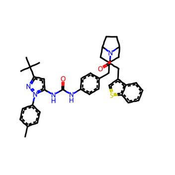 Cc1ccc(-n2nc(C(C)(C)C)cc2NC(=O)Nc2ccc(CC3CC4CCC(C3)N4C(=O)Cc3csc4ccccc34)cc2)cc1